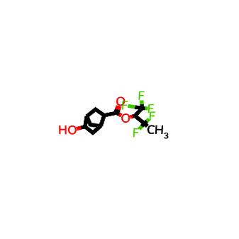 CC(F)(F)C(OC(=O)C1CC2CC1CC2O)C(F)(F)F